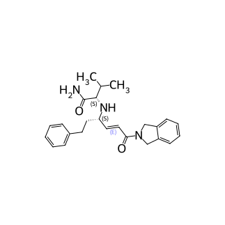 CC(C)[C@H](N[C@H](/C=C/C(=O)N1Cc2ccccc2C1)CCc1ccccc1)C(N)=O